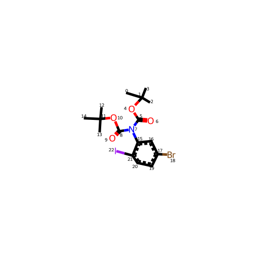 CC(C)(C)OC(=O)N(C(=O)OC(C)(C)C)c1cc(Br)ccc1I